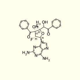 C[C@]1(C(O)C(=O)c2ccccc2)O[C@@H](n2cnc3c(N)nc(N)nc32)[C@H](F)[C@@]1(O)C(=O)c1ccccc1